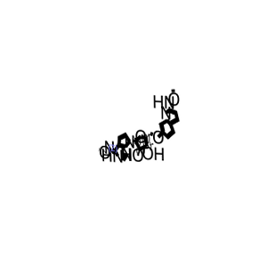 CO/N=c1\[nH]cnc2c1ccn2[C@@H]1O[C@H](COc2ccc3ccc(NOC)nc3c2)[C@@](C)(O)[C@H]1O